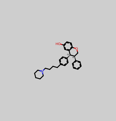 Oc1ccc2c(c1)[C@H](c1ccc(CCCCN3CCCCC3)cc1)[C@H](c1ccccc1)CO2